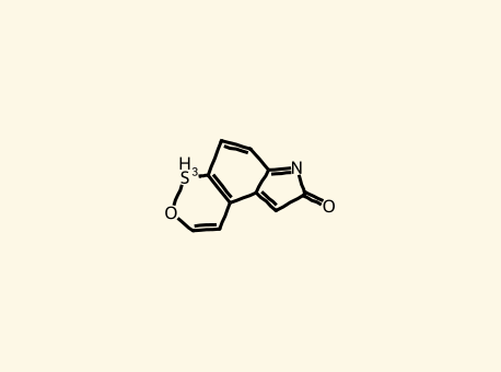 O=C1C=c2c3c(ccc2=N1)[SH3]OC=C3